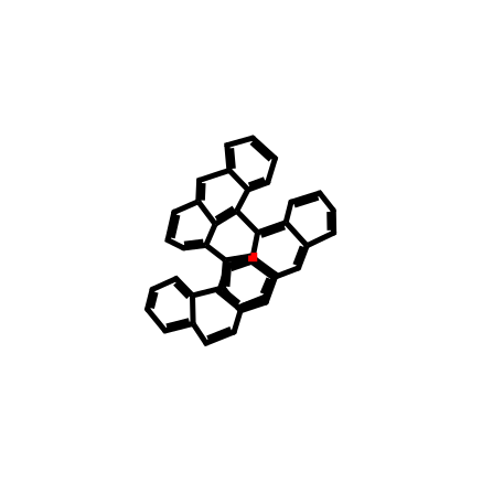 c1ccc2c(-c3c4ccccc4cc4cccc(-c5cccc6ccc7ccccc7c56)c34)c3ccccc3cc2c1